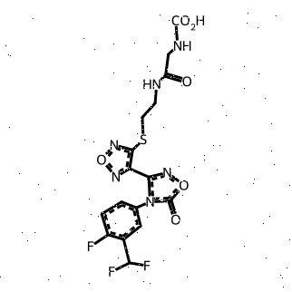 O=C(O)NCC(=O)NCCSc1nonc1-c1noc(=O)n1-c1ccc(F)c(C(F)F)c1